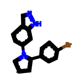 Brc1ccc(-c2c[c]cn2-c2ccc3cn[nH]c3c2)cc1